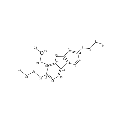 CCCCc1ccc2c(c1)Cc1c-2ccc(CCCC)c1COC